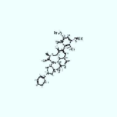 C=CC(=O)NC1CN(c2ccccn2)CC1Nc1ncc2cc(-c3c(Cl)c(OC)cc(OC)c3Cl)c(=O)n(C)c2n1